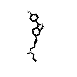 C=CCN(C)CCC#Cc1ccc2c(-c3ccc(Br)cc3)nsc2c1